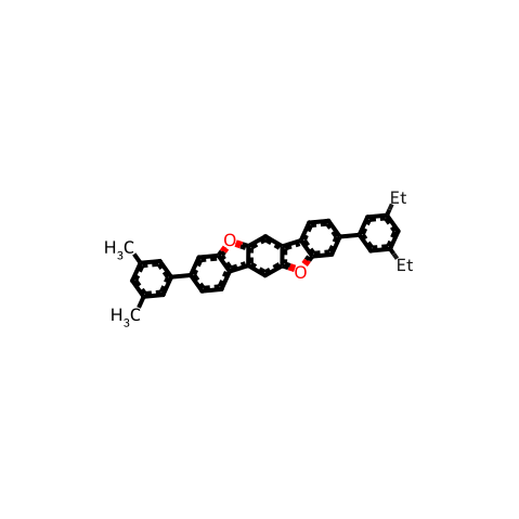 CCc1cc(CC)cc(-c2ccc3c(c2)oc2cc4c(cc23)oc2cc(-c3cc(C)cc(C)c3)ccc24)c1